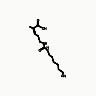 CC(=CCCNC(=O)NCCCCCCO)C(=O)O